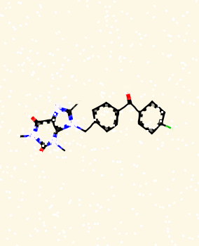 CCc1nc2c(=O)n(C)c(=O)n(C)c2n1Cc1ccc(C(=O)c2ccc(Cl)cc2)cc1